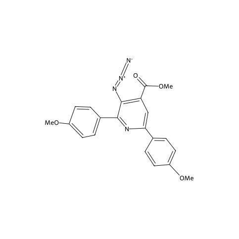 COC(=O)c1cc(-c2ccc(OC)cc2)nc(-c2ccc(OC)cc2)c1N=[N+]=[N-]